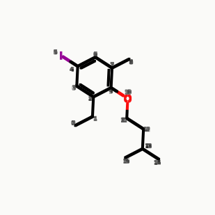 CCc1cc(I)cc(C)c1OCCC(C)C